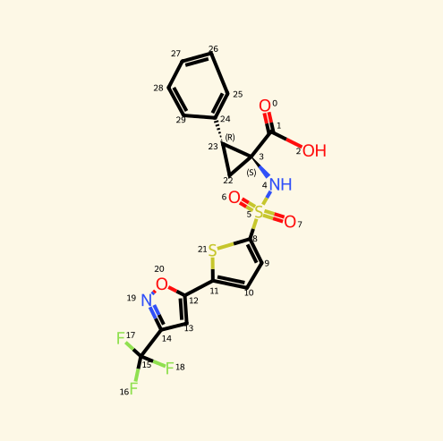 O=C(O)[C@]1(NS(=O)(=O)c2ccc(-c3cc(C(F)(F)F)no3)s2)C[C@@H]1c1ccccc1